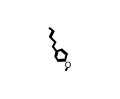 CC=CCCc1ccc(OC)cc1